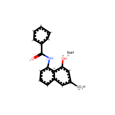 O=C(Nc1cccc2cc(S(=O)(=O)O)cc(O)c12)c1ccccc1.[NaH]